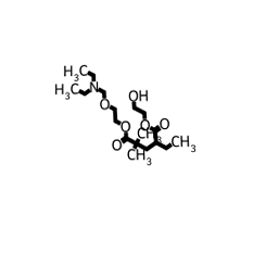 CCC(CC(C)(C)C(=O)OCCOCN(CC)CC)C(=O)OCCO